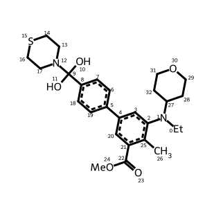 CCN(c1cc(-c2ccc(C(O)(O)N3CCSCC3)cc2)cc(C(=O)OC)c1C)C1CCOCC1